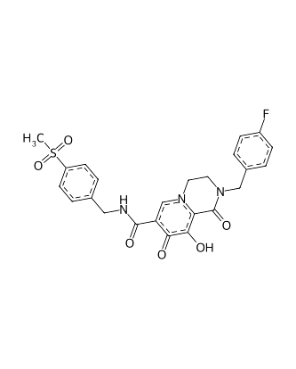 CS(=O)(=O)c1ccc(CNC(=O)c2cn3c(c(O)c2=O)C(=O)N(Cc2ccc(F)cc2)CC3)cc1